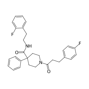 O=C(CCc1ccc(F)cc1)N1CCC(C(=O)NCCc2ccccc2F)(c2ccccc2)CC1